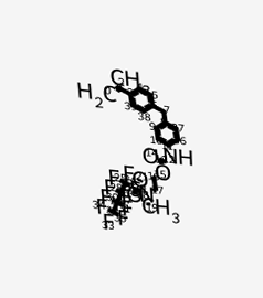 C=C(C)c1ccc(Cc2ccc(NC(=O)OCCN(C)S(=O)(=O)C(F)(F)C(F)(F)C(F)(F)C(F)(F)F)cc2)cc1